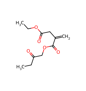 C=C(CC(=O)OCC)C(=O)OCC(=O)CC